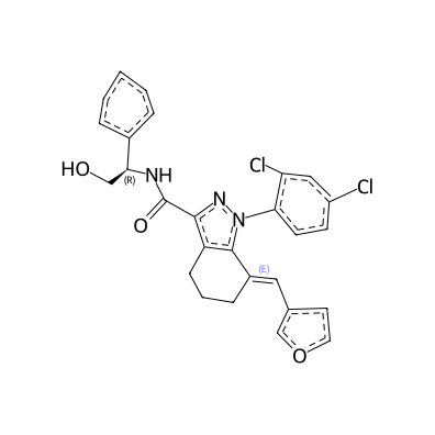 O=C(N[C@@H](CO)c1ccccc1)c1nn(-c2ccc(Cl)cc2Cl)c2c1CCC/C2=C\c1ccoc1